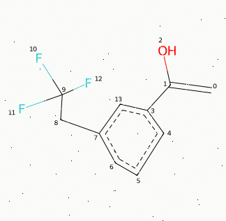 C=C(O)c1cccc(CC(F)(F)F)c1